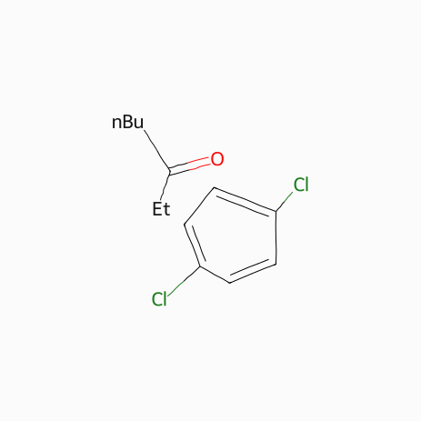 CCCCC(=O)CC.Clc1ccc(Cl)cc1